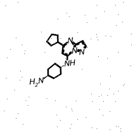 N[C@H]1CC[C@H](Nc2cc(C3CCCC3)nc3ccnn23)CC1